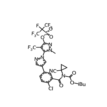 CCC(C)OC(=O)N(C(=O)c1cc(-c2cnn(-c3c(C(F)(F)F)c(OS(=O)(=O)C(F)(C(F)(F)F)C(F)(F)F)nn3C)c2)ccc1Cl)C1(C#N)CC1